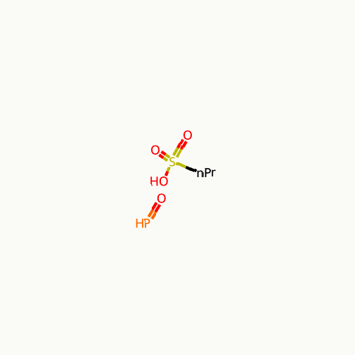 CCCS(=O)(=O)O.O=P